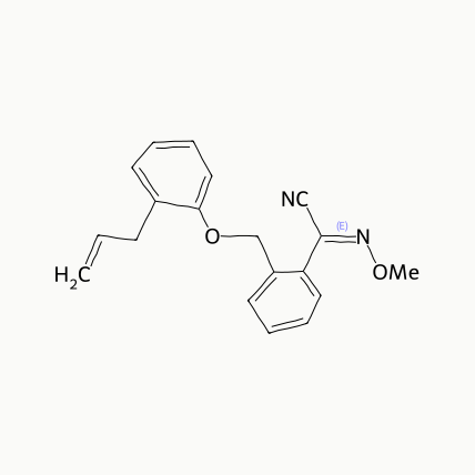 C=CCc1ccccc1OCc1ccccc1/C(C#N)=N\OC